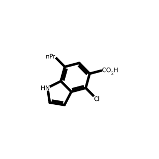 CCCc1cc(C(=O)O)c(Cl)c2cc[nH]c12